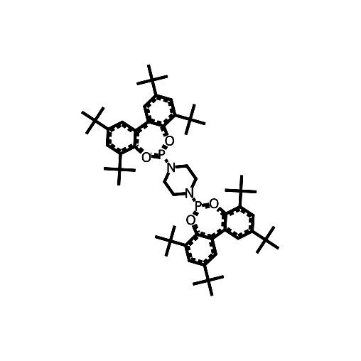 CC(C)(C)c1cc(C(C)(C)C)c2op(N3CCN(p4oc5c(C(C)(C)C)cc(C(C)(C)C)cc5c5cc(C(C)(C)C)cc(C(C)(C)C)c5o4)CC3)oc3c(C(C)(C)C)cc(C(C)(C)C)cc3c2c1